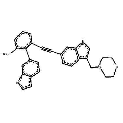 O=C(O)c1cccc(C#Cc2ccc3c(CN4CCSCC4)c[nH]c3c2)c1-c1ccc2cc[nH]c2c1